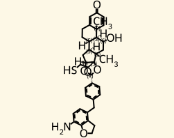 C[C@]12C=CC(=O)C=C1CC[C@@H]1[C@@H]2[C@@H](O)C[C@@]2(C)[C@H]1C[C@H]1O[C@@H](c3ccc(Cc4ccc(N)c5c4CCO5)cc3)O[C@]12C(=O)CS